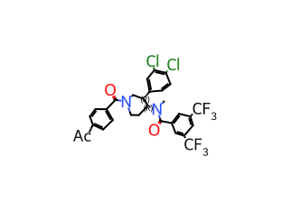 CC(=O)c1ccc(C(=O)N2CC[C@@H](N(C)C(=O)c3cc(C(F)(F)F)cc(C(F)(F)F)c3)[C@H](c3ccc(Cl)c(Cl)c3)C2)cc1